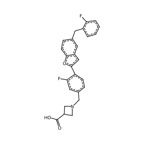 O=C(O)C1CN(Cc2ccc(-c3cc4cc(Cc5ccccc5F)ccc4o3)c(F)c2)C1